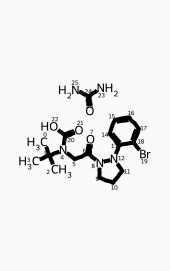 CC(C)(C)N(CC(=O)N1CCCN1c1ccccc1Br)C(=O)O.NC(N)=O